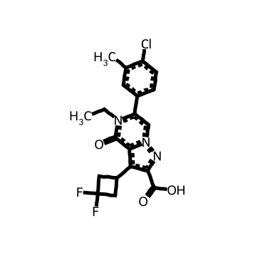 CCn1c(-c2ccc(Cl)c(C)c2)cn2nc(C(=O)O)c(C3CC(F)(F)C3)c2c1=O